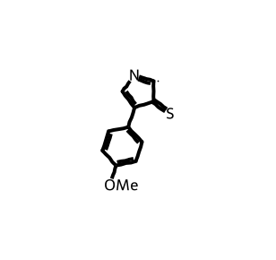 COc1ccc(C2=CN=[C]C2=S)cc1